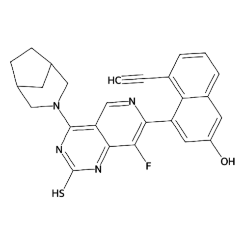 C#Cc1cccc2cc(O)cc(-c3ncc4c(N5CC6CCC(C6)C5)nc(S)nc4c3F)c12